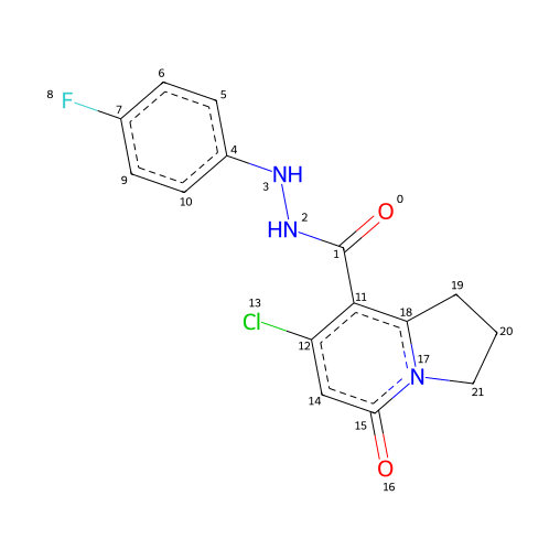 O=C(NNc1ccc(F)cc1)c1c(Cl)cc(=O)n2c1CCC2